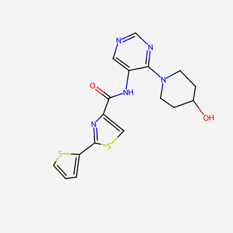 O=C(Nc1cncnc1N1CCC(O)CC1)c1csc(-c2cccs2)n1